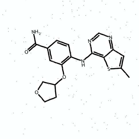 Cc1cc2ncnc(Nc3ccc(C(N)=O)cc3OC3CCOC3)c2s1